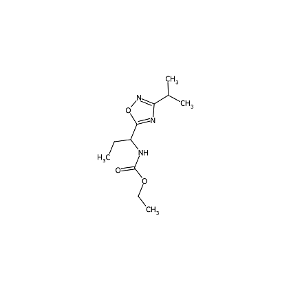 CCOC(=O)NC(CC)c1nc(C(C)C)no1